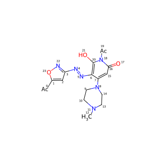 CC(=O)c1cc(N=Nc2c(N3CCN(C)CC3)cc(=O)n(C(C)=O)c2O)no1